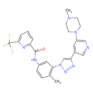 Cc1ccc(NC(=O)c2cccc(C(F)(F)F)n2)cc1-n1cc(-c2cncc(N3CCN(C)CC3)c2)nn1